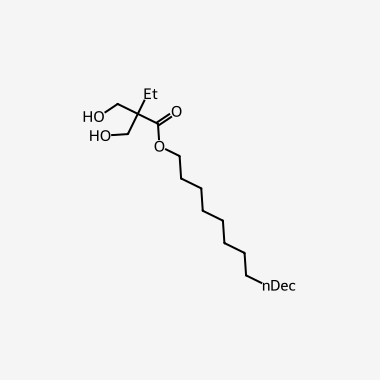 CCCCCCCCCCCCCCCCCCOC(=O)C(CC)(CO)CO